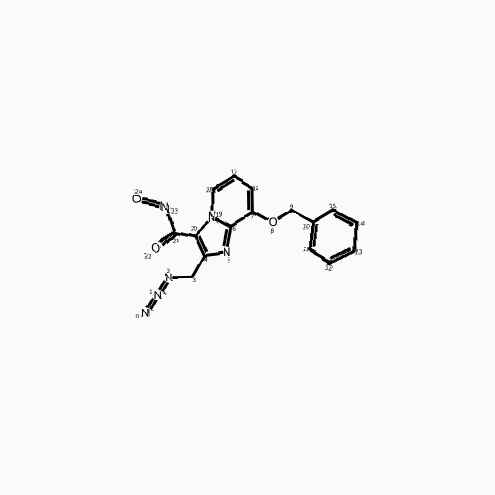 [N-]=[N+]=NCc1nc2c(OCc3ccccc3)cccn2c1C(=O)N=O